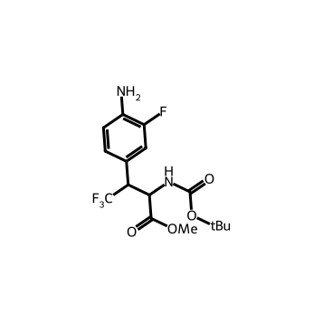 COC(=O)C(NC(=O)OC(C)(C)C)C(c1ccc(N)c(F)c1)C(F)(F)F